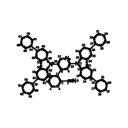 N#Cc1ccccc1-c1cc(-n2c3ccc(-c4ccccc4)cc3c3cc(-c4ccccc4)ccc32)ncc1-n1c2ccc(-c3ccccc3)cc2c2cc(-c3ccccc3)ccc21